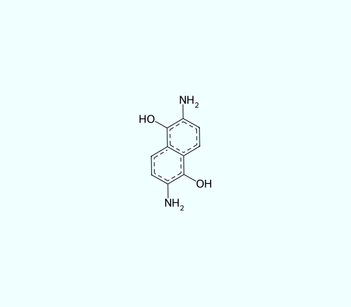 Nc1ccc2c(O)c(N)ccc2c1O